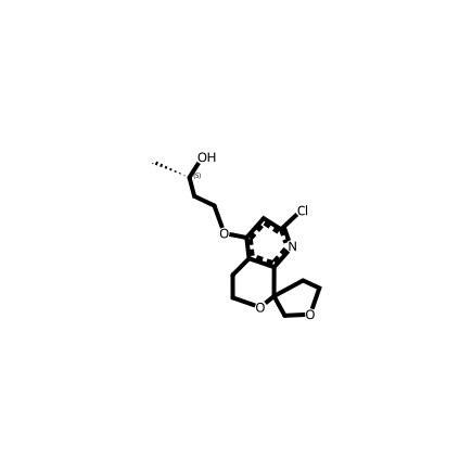 [CH2][C@H](O)CCOc1cc(Cl)nc2c1CCOC21CCOC1